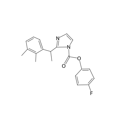 Cc1cccc(C(C)c2nccn2C(=O)Oc2ccc(F)cc2)c1C